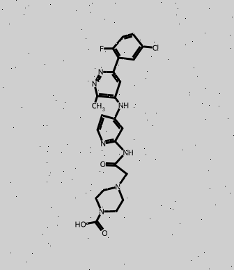 Cc1nnc(-c2cc(Cl)ccc2F)cc1Nc1ccnc(NC(=O)CN2CCN(C(=O)O)CC2)c1